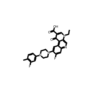 CCn1cc(C(=O)O)c(=O)c2c3cc(N4CCN(c5ccc(C)c(F)c5)CC4)c(F)cc3ncc21